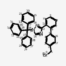 BrCc1ccc(-c2ccccc2-c2ncn(C(c3ccccc3)(c3ccccc3)c3ccccc3)n2)cc1